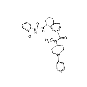 CN(C(=O)c1ccc2c(c1)C(NC(=O)Nc1ccccc1Cl)CCC2)C1CCN(c2ccncc2)CC1